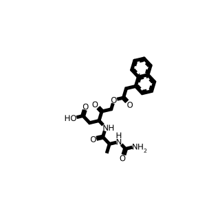 CC(NC(N)=O)C(=O)NC(CC(=O)O)C(=O)COC(=O)Cc1cccc2ccccc12